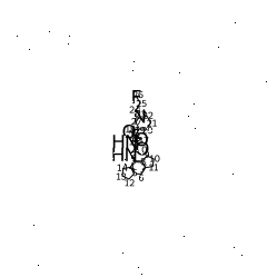 O=C(Nc1c2c(cc3c1CCC3)CCC2)NS(=O)(=O)C1CCCN(CCF)C1